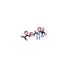 CC(C)C(=O)COCCNC(=O)C(C)(C)C